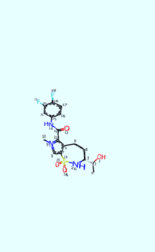 CC(O)[C@H]1CCc2c(cn(C)c2C(=O)Nc2ccc(F)c(F)c2)S(=O)(=O)N1